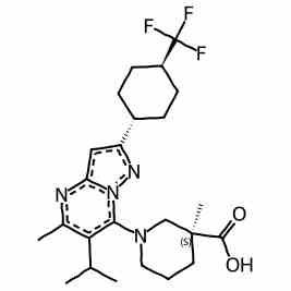 Cc1nc2cc([C@H]3CC[C@H](C(F)(F)F)CC3)nn2c(N2CCC[C@](C)(C(=O)O)C2)c1C(C)C